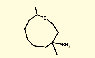 BC1(C)CCCCCC(I)CCC1